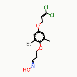 CCc1cc(OCC=C(Cl)Cl)cc(C)c1OCCC=NO